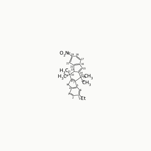 CCc1ccc2c(c1)C1=C(C2)C(C)(C)C2C(=Cc3ccc([N+](=O)[O-])cc32)C1(C)C